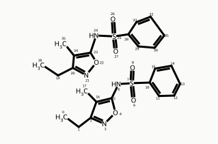 CCc1noc(NS(=O)(=O)c2ccccc2)c1C.CCc1noc(NS(=O)(=O)c2ccccc2)c1C